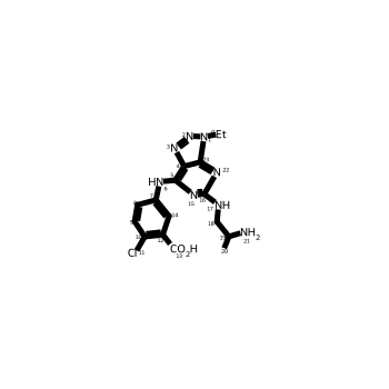 CCn1nnc2c(Nc3ccc(Cl)c(C(=O)O)c3)nc(NCC(C)N)nc21